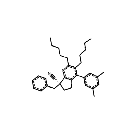 CCCCCc1nc2c(c(-c3cc(C)cc(C)c3)c1CCCCC)CC[C@@]2(C#N)Cc1ccccc1